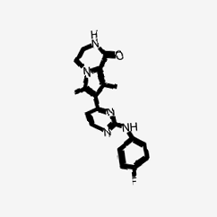 Cc1c(-c2ccnc(Nc3ccc(F)cc3)n2)c(C)n2c1C(=O)NCC2